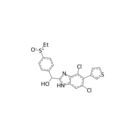 CC[S+]([O-])c1ccc(C(O)c2nc3c(Cl)c(-c4ccsc4)c(Cl)cc3[nH]2)cc1